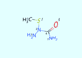 CSN(N)C(N)=O